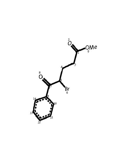 COC(=O)CCC(Br)C(=O)c1ccccc1